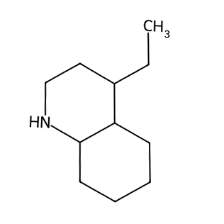 CCC1CCNC2CCCCC12